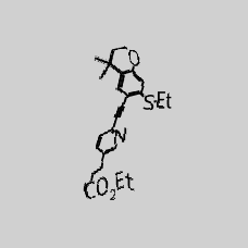 CCOC(=O)CCc1ccc(C#Cc2cc3c(cc2SCC)OCCC3(C)C)nc1